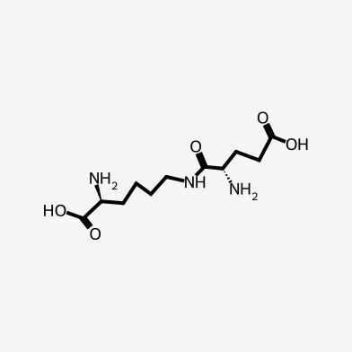 N[C@@H](CCCCNC(=O)[C@@H](N)CCC(=O)O)C(=O)O